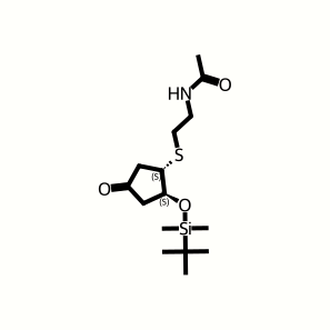 CC(=O)NCCS[C@H]1CC(=O)C[C@@H]1O[Si](C)(C)C(C)(C)C